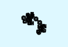 CN(C(=O)O)[C@@H](C(=O)N1CCC[C@H]1c1ncc(-c2ccc(-c3ccc(-c4cnc(C5CCCN5C(=O)C5CCCO5)[nH]4)cc3)cc2)[nH]1)c1ccccc1Cl